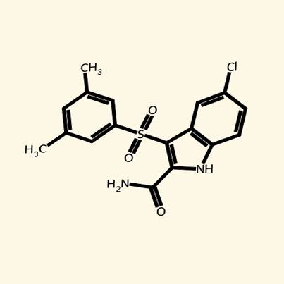 Cc1cc(C)cc(S(=O)(=O)c2c(C(N)=O)[nH]c3ccc(Cl)cc23)c1